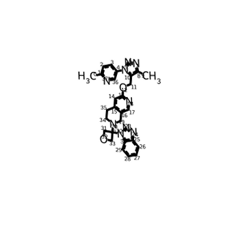 Cc1ccc(-n2nnc(C)c2COc2cc3c(cn2)CN(C2(n4nnc5ccccc54)COC2)CC3)cn1